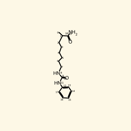 CC(CCCCCCNC(=O)Nc1ccccc1)C(N)=O